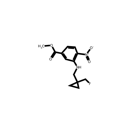 COC(=O)c1ccc([N+](=O)[O-])c(NCC2(CF)CC2)c1